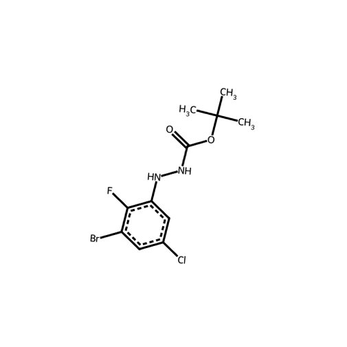 CC(C)(C)OC(=O)NNc1cc(Cl)cc(Br)c1F